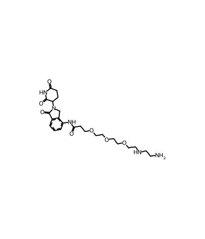 NCCNCCOCCOCCOCCC(=O)Nc1cccc2c1CN(C1CCC(=O)NC1=O)C2=O